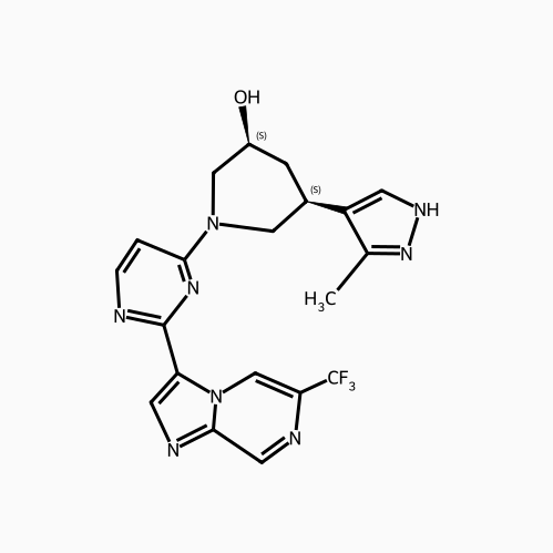 Cc1n[nH]cc1[C@@H]1C[C@H](O)CN(c2ccnc(-c3cnc4cnc(C(F)(F)F)cn34)n2)C1